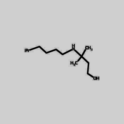 CC(C)CCCCNC(C)(C)CCO